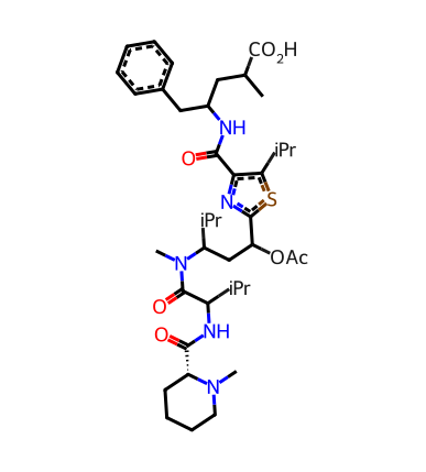 CC(=O)OC(CC(C(C)C)N(C)C(=O)C(NC(=O)[C@H]1CCCCN1C)C(C)C)c1nc(C(=O)NC(Cc2ccccc2)CC(C)C(=O)O)c(C(C)C)s1